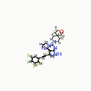 C[C@H]1CC2(CCN(c3nc4[nH]nc(C#Cc5cc(F)c(F)c(F)c5F)c4c4nccn34)CC2)CO1